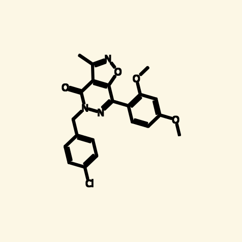 COc1ccc(-c2nn(Cc3ccc(Cl)cc3)c(=O)c3c(C)noc23)c(OC)c1